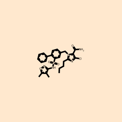 CCCCc1nc(Cl)c(C(N)=O)n1Cc1ccc(-c2ccccc2)c(S(=O)(=O)Nc2noc(C)c2C)c1